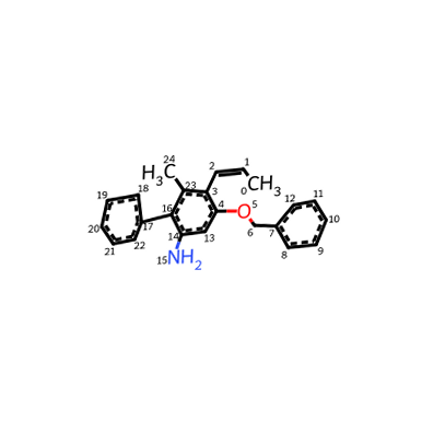 C/C=C\c1c(OCc2ccccc2)cc(N)c(-c2ccccc2)c1C